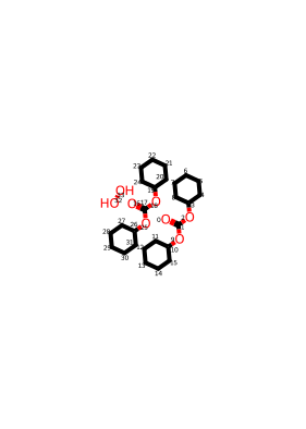 O=C(OC1CCCCC1)OC1CCCCC1.O=C(OC1CCCCC1)OC1CCCCC1.OO